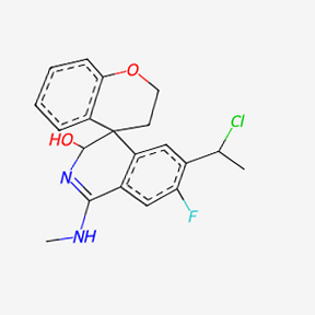 CNC1=NC(O)C2(CCOc3ccccc32)c2cc(C(C)Cl)c(F)cc21